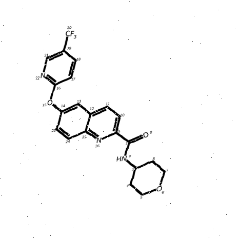 O=C(NC1CCOCC1)c1ccc2cc(Oc3ccc(C(F)(F)F)cn3)ccc2n1